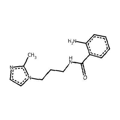 Cc1nccn1CCCNC(=O)c1ccccc1N